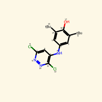 CC(C)(C)c1cc(Nc2cc(Cl)nnc2Cl)cc(C(C)(C)C)c1O